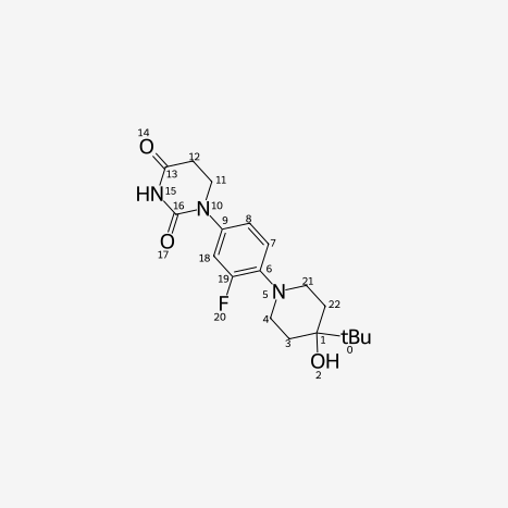 CC(C)(C)C1(O)CCN(c2ccc(N3CCC(=O)NC3=O)cc2F)CC1